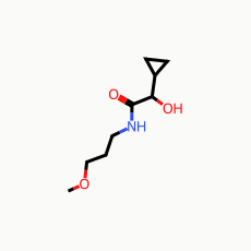 COCCCNC(=O)C(O)C1CC1